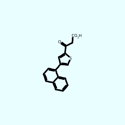 O=C(O)CC(=O)c1cc(-c2cccc3ccccc23)cs1